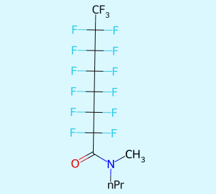 CCCN(C)C(=O)C(F)(F)C(F)(F)C(F)(F)C(F)(F)C(F)(F)C(F)(F)C(F)(F)F